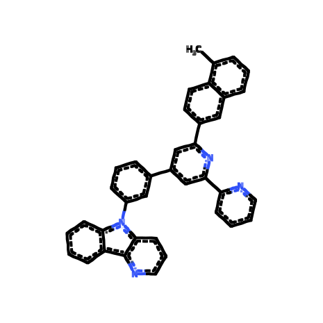 Cc1cccc2cc(-c3cc(-c4cccc(-n5c6ccccc6c6ncccc65)c4)cc(-c4ccccn4)n3)ccc12